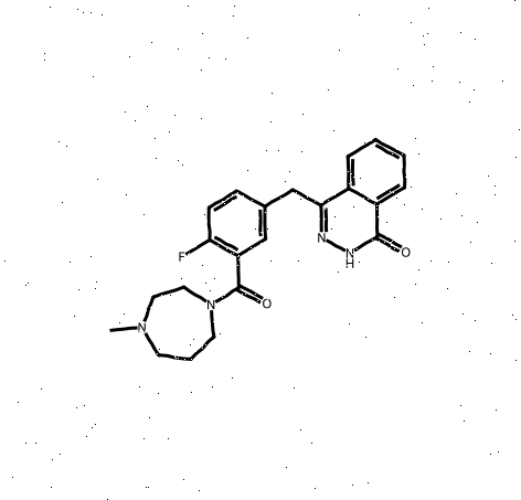 CN1CCCN(C(=O)c2cc(Cc3n[nH]c(=O)c4ccccc34)ccc2F)CC1